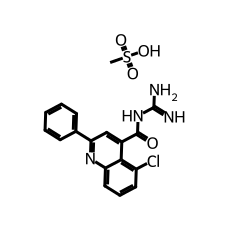 CS(=O)(=O)O.N=C(N)NC(=O)c1cc(-c2ccccc2)nc2cccc(Cl)c12